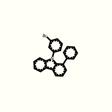 Brc1cccc(-n2c3ccccc3c3cccc(-c4ccccc4)c32)c1